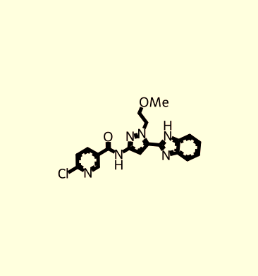 COCCn1nc(NC(=O)c2ccc(Cl)nc2)cc1-c1nc2ccccc2[nH]1